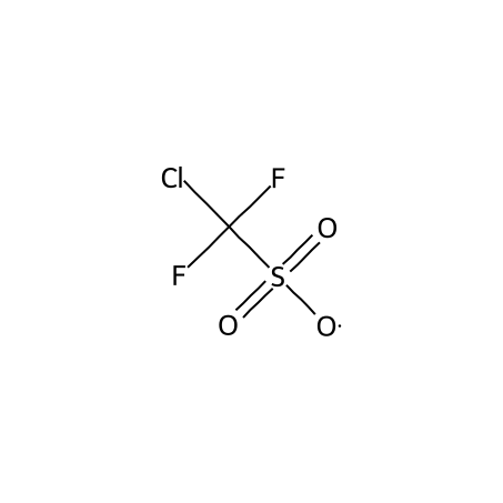 [O]S(=O)(=O)C(F)(F)Cl